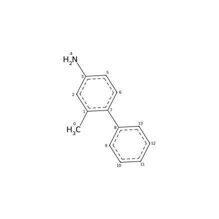 Cc1cc(N)ccc1-c1ccccc1